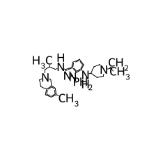 C=C(C)N1CCC(Nc2cccc3c(NCC(C)CN4CCc5ccc(C)cc5C4)nn(P)c23)CC1